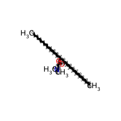 CCCCCC=CCC=CCCCCCCCCC(CCCCCCCCC=CCC=CCCCCC)OC(=O)CCN(C)C